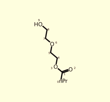 CCCC(=O)OCCOCCO